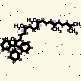 CC(C)=CCC/C(C)=C/CC/C(C)=C/CC/C(C)=C/CCC(C)[PH](c1ccccc1)(c1ccccc1)c1ccccc1